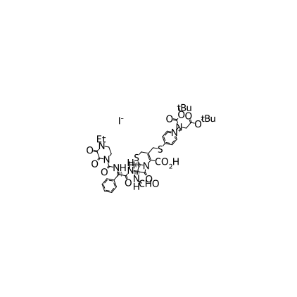 CCN1CCN(C(=O)N[C@@H](C(=O)N[C@]2(NC=O)C(=O)N3C(C(=O)O)=C(CSc4cc[n+](N(CC(=O)OC(C)(C)C)C(=O)OC(C)(C)C)cc4)CS[C@@H]32)c2ccccc2)C(=O)C1=O.[I-]